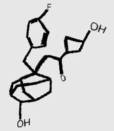 O=C(CC1(Cc2ccc(F)cc2)C2CC3CC1CC(C2)C3O)C1CC(O)C1